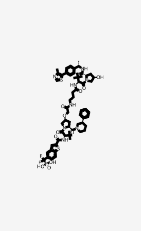 Cc1ncsc1-c1ccc([C@H](C)NC(=O)[C@@H]2C[C@@H](O)CN2C(=O)[C@@H](NC(=O)CCCNC(=O)CO[C@H]2C[C@@H](C(=O)N3CCC[C@H](c4ccccc4)C3)N(C(=O)[C@@H](NC(=O)c3cc4cc(C(F)(F)P(=O)(O)O)ccc4s3)C(C)(C)C)C2)C(C)(C)C)cc1